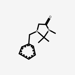 CN1C(=O)CN(Cc2ccccc2)C1(C)C